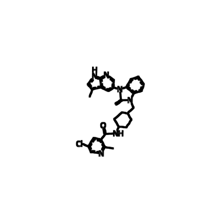 C=C1N(CC2CCC(NC(=O)c3cc(Cl)cnc3C)CC2)c2ccccc2N1c1cnc2[nH]cc(C)c2c1